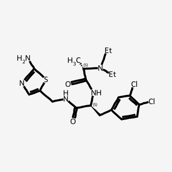 CCN(CC)[C@@H](C)C(=O)N[C@@H](Cc1ccc(Cl)c(Cl)c1)C(=O)NCc1cnc(N)s1